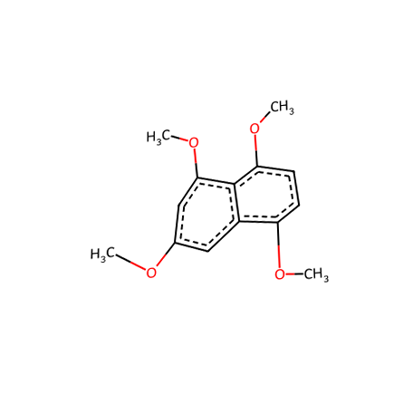 COc1cc(OC)c2c(OC)ccc(OC)c2c1